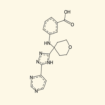 O=C(O)c1cccc(NC2(c3nnc(-c4ccncn4)[nH]3)CCOCC2)c1